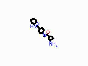 CN(C(=O)C1CCC(N)C1)c1ccc(-c2nc3ccccc3[nH]2)cc1